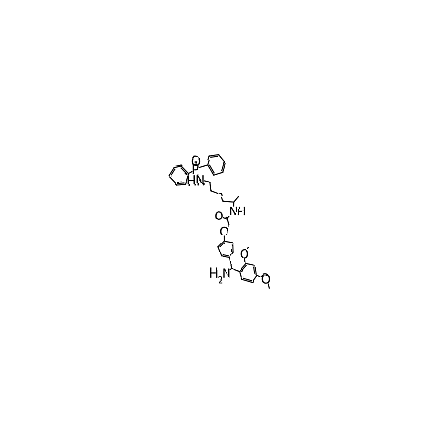 COc1ccc(C(N)c2ccc(OCC(=O)NC(C)CCCCNP(=O)(c3ccccc3)c3ccccc3)cc2)c(OC)c1